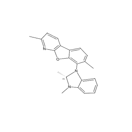 Cc1ccc2c(n1)oc1c(N3c4ccccc4N(C)[C@@H]3C)c(C)ccc12